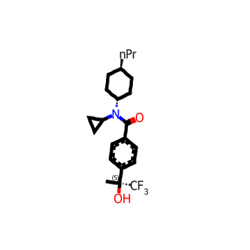 CCC[C@H]1CC[C@H](N(C(=O)c2ccc([C@](C)(O)C(F)(F)F)cc2)C2CC2)CC1